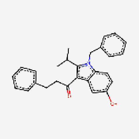 CC(C)c1c(C(=O)CCc2ccccc2)c2cc(O)ccc2n1Cc1ccccc1